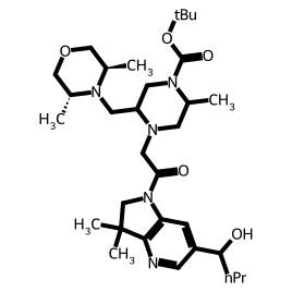 CCCC(O)c1cnc2c(c1)N(C(=O)CN1CC(C)N(C(=O)OC(C)(C)C)CC1CN1[C@H](C)COC[C@H]1C)CC2(C)C